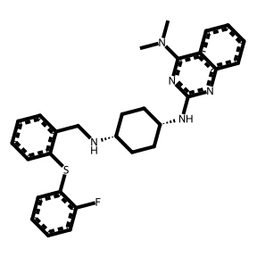 CN(C)c1nc(N[C@H]2CC[C@@H](NCc3ccccc3Sc3ccccc3F)CC2)nc2ccccc12